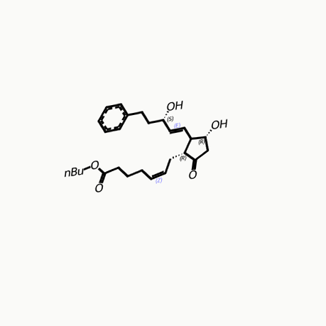 CCCCOC(=O)CCC/C=C\C[C@H]1C(=O)C[C@@H](O)C1/C=C/[C@@H](O)CCc1ccccc1